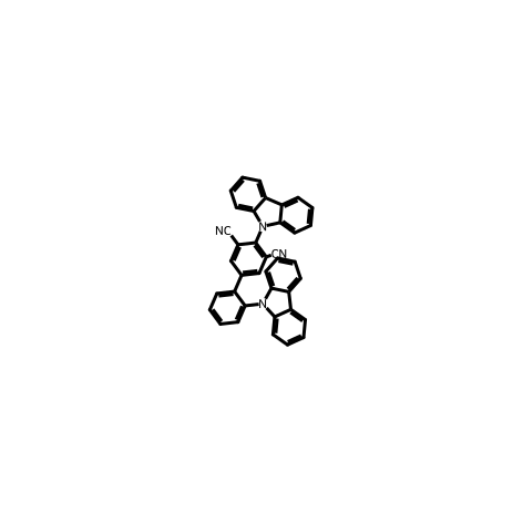 N#Cc1cc(-c2ccccc2-n2c3ccccc3c3ccccc32)cc(C#N)c1-n1c2ccccc2c2ccccc21